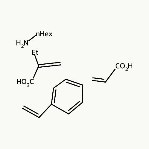 C=C(CC)C(=O)O.C=CC(=O)O.C=Cc1ccccc1.CCCCCCN